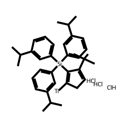 CC(C)c1cccc([Si](C2=[C]([Ti])CC=C2C(C)(C)C)(c2cccc(C(C)C)c2)c2cccc(C(C)C)c2)c1.Cl.Cl.Cl